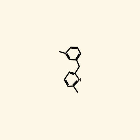 Cc1cccc(Cc2cccc(C)n2)c1